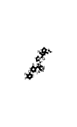 CN(C)CC1(C=C(C#N)C(=O)N2CCC[C@H]2Cn2nc(-c3ccc(Oc4cccc(F)c4F)cc3F)c3c(N)ncnc32)CCCC1